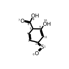 O=S=C1C=CC(C(=O)O)C(O)=C1